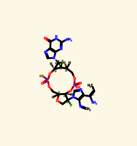 C=Nc1c(/C(N)=C\C)ncn1[C@]1(F)CO[C@@H]2COP(=O)(S)O[C@@H]3[C@@H](F)[C@@H](COP(=O)(O)O[C@H]21)S[C@H]3n1cnc2c(=O)[nH]c(N)nc21